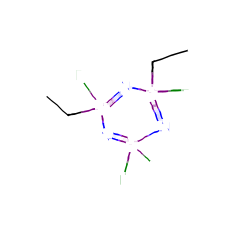 CCP1(F)=NP(F)(F)=NP(F)(CC)=N1